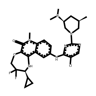 C[C@@H]1C[C@H](N(C)C)CN(c2ncc(Cl)c(Nc3ccc4c(c3)c3c(c(=O)n4C)OCC(F)(F)[C@H](C4CC4)N3)n2)C1